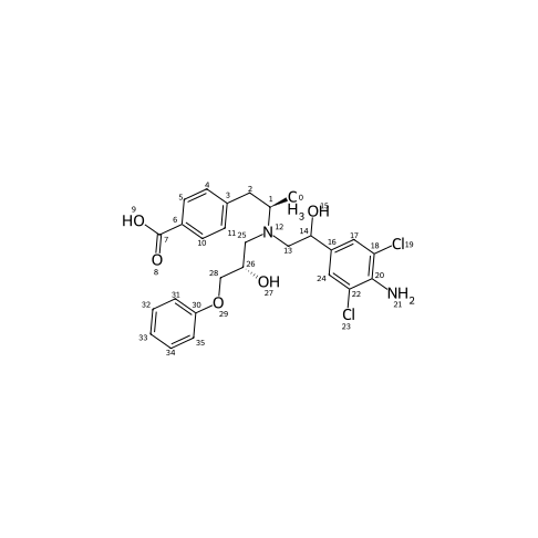 C[C@H](Cc1ccc(C(=O)O)cc1)N(CC(O)c1cc(Cl)c(N)c(Cl)c1)C[C@H](O)COc1ccccc1